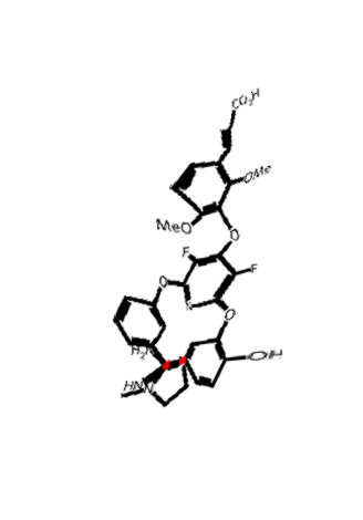 COc1ccc(/C=C/C(=O)O)c(OC)c1Oc1c(F)c(Oc2cccc(C3=NCCN3C)c2)nc(Oc2cc(C(=N)N)ccc2O)c1F